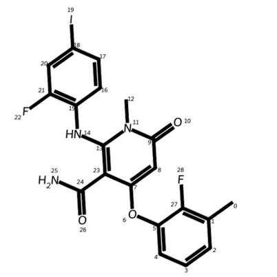 Cc1cccc(Oc2cc(=O)n(C)c(Nc3ccc(I)cc3F)c2C(N)=O)c1F